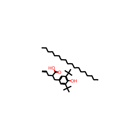 C=CCC(Cc1cc(C(C)(C)C)c(O)c(C(C)(C)C)c1)C(=O)O.CCCCCCCCCCCCCCCCCC